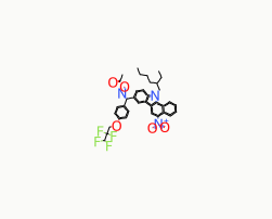 CCCCC(CC)Cn1c2ccc(/C(=N\OC(C)=O)c3ccc(OCC(F)(F)C(F)F)cc3)cc2c2cc([N+](=O)[O-])c3ccccc3c21